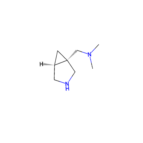 CN(C)C[C@]12CNC[C@H]1C2